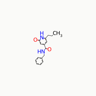 CCCc1cc(C(=O)NCc2ccccc2)cc(=O)[nH]1